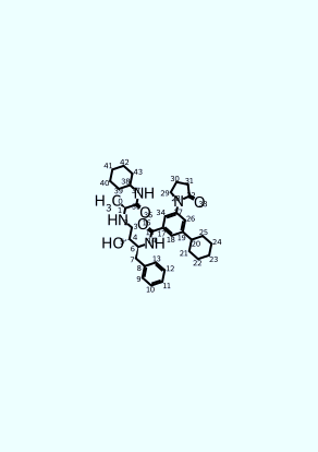 C[C@H](NC[C@@H](O)[C@H](Cc1ccccc1)NC(=O)c1cc(C2CCCCC2)cc(N2CCCC2=O)c1)C(=O)NC1CCCCC1